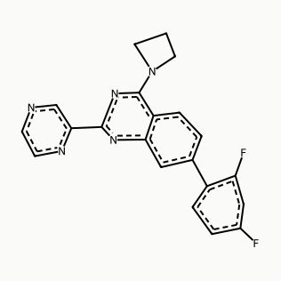 Fc1ccc(-c2ccc3c(N4CCC4)nc(-c4cnccn4)nc3c2)c(F)c1